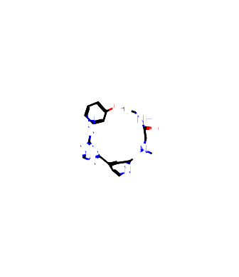 CN1CC(=O)NCCOc2cccc(c2)Nc2ncnc(n2)-c2ccnc(c2)C1